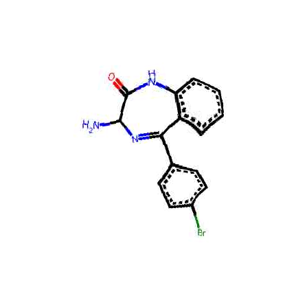 NC1N=C(c2ccc(Br)cc2)c2ccccc2NC1=O